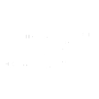 CCOC(=O)C(OC)C(=O)COC